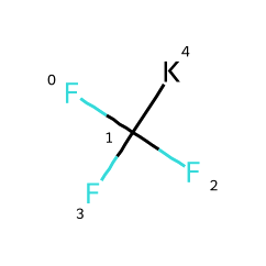 F[C](F)(F)[K]